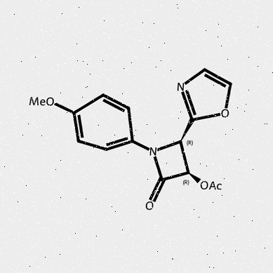 COc1ccc(N2C(=O)[C@H](OC(C)=O)[C@@H]2c2ncco2)cc1